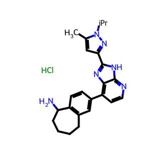 Cc1cc(-c2nc3c(-c4ccc5c(c4)CCCCC5N)ccnc3[nH]2)nn1C(C)C.Cl